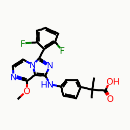 COc1nccn2c(-c3c(F)cccc3F)nc(Nc3ccc(C(C)(C)C(=O)O)cc3)c12